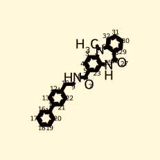 CN1c2ccc(C(=O)NCCc3ccc(-c4ccccc4)cc3)cc2NC(=O)c2ccccc21